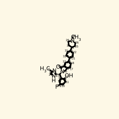 Cc1c[nH]c([C@H](c2cc(F)ccc2O)N2Cc3ccc(-c4ccc(C5CCN(C)CC5)cc4)cc3C2=O)n1